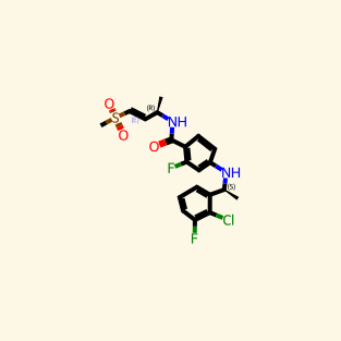 C[C@H](/C=C/S(C)(=O)=O)NC(=O)c1ccc(N[C@@H](C)c2cccc(F)c2Cl)cc1F